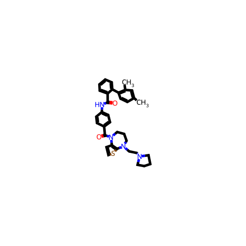 Cc1ccc(-c2ccccc2C(=O)Nc2ccc(C(=O)N3CCCN(CCN4CCCC4)c4sccc43)cc2)c(C)c1